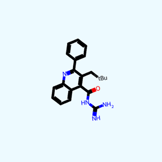 CC(C)(C)Cc1c(-c2ccccc2)nc2ccccc2c1C(=O)NC(=N)N